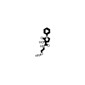 CCCOCCNC(=O)[C@@]1(O)CCN(c2ccccc2)C1=O